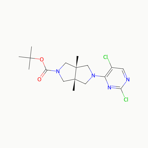 CC(C)(C)OC(=O)N1C[C@@]2(C)CN(c3nc(Cl)ncc3Cl)C[C@@]2(C)C1